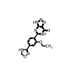 CCOc1cc(C2=NOCN2)ccc1-c1nc2[nH]nnc2c(=O)[nH]1